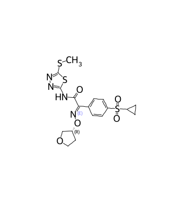 CSc1nnc(NC(=O)/C(=N/O[C@@H]2CCOC2)c2ccc(S(=O)(=O)C3CC3)cc2)s1